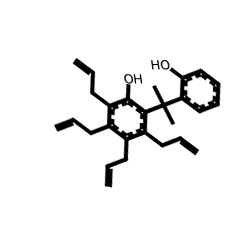 C=CCc1c(O)c(C(C)(C)c2ccccc2O)c(CC=C)c(CC=C)c1CC=C